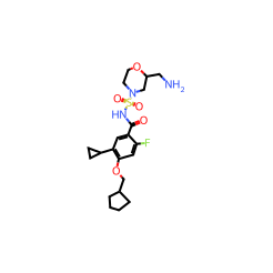 NCC1CN(S(=O)(=O)NC(=O)c2cc(C3CC3)c(OCC3CCCC3)cc2F)CCO1